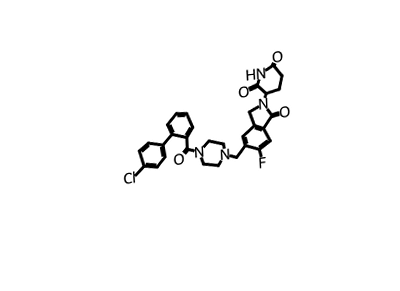 O=C1CCC(N2Cc3cc(CN4CCN(C(=O)c5ccccc5-c5ccc(Cl)cc5)CC4)c(F)cc3C2=O)C(=O)N1